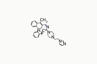 C=C(/N=C\C1=C(C)c2ccccc2C(c2ccccc2F)C1)N1CCN(CCn2ccnc2)CC1